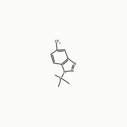 C[Si](C)(C)n1nnc2cc(C(F)(F)F)ccc21